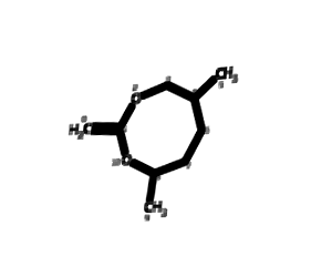 C=C1OCC(C)CCC(C)O1